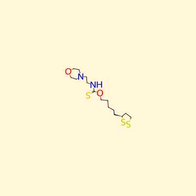 S=C(NCCN1CCOCC1)OCCCCC[C@H]1CCSS1